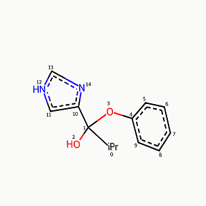 CC(C)C(O)(Oc1ccccc1)c1c[nH]cn1